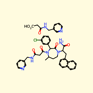 CC1CCN(C(Cc2cccc3ccccc23)C(N)=O)C(=O)C(c2cccc(Cl)c2)N1C(=O)CC(=O)NCc1cccnc1.O=C(O)CC(=O)NCc1cccnc1